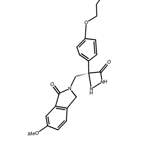 COCCOc1ccc([C@]2(CN3Cc4ccc(OC)cc4C3=O)NNC2=O)cc1